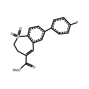 COC(=O)C1=Cc2cc(-c3ccc(F)cc3)ccc2S(=O)(=O)CC1